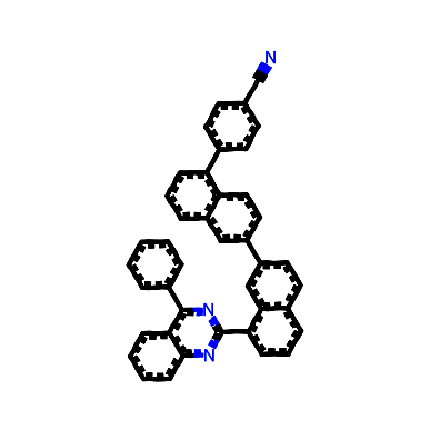 N#Cc1ccc(-c2cccc3cc(-c4ccc5cccc(-c6nc(-c7ccccc7)c7ccccc7n6)c5c4)ccc23)cc1